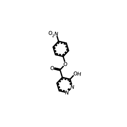 O=C(Oc1ccc([N+](=O)[O-])cc1)c1ccnnc1O